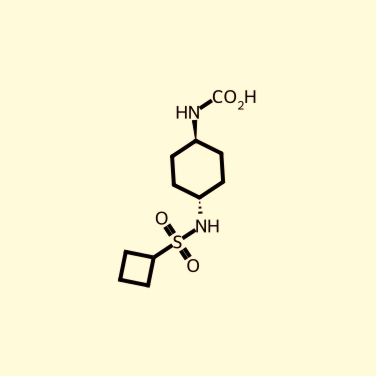 O=C(O)N[C@H]1CC[C@H](NS(=O)(=O)C2CCC2)CC1